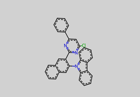 Clc1cc(-c2ccccc2)nc(-c2cc3ccccc3cc2-n2c3ccccc3c3ccccc32)n1